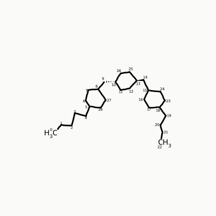 CCCCCC1CCC(C[C@H]2CC[C@H](CC3CCC(CCCC)CC3)CC2)CC1